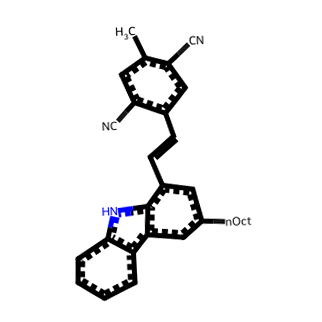 CCCCCCCCc1cc(C=Cc2cc(C#N)c(C)cc2C#N)c2[nH]c3ccccc3c2c1